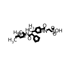 BC(/C=C\C(=C/C)NC(=O)[C@H](c1ccccc1)C(C)c1ccc(C(=O)NCCS(=O)(=O)O)cc1)=C/C